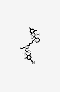 CCC[N+](C)(CCCCCN1CCCCC1C(=O)Nc1c(C)cc(C)cc1C)CC(=O)Nc1c(C)cc(C#N)cc1C